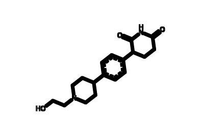 O=C1CCC(c2ccc(C3CCN(CCO)CC3)cc2)C(=O)N1